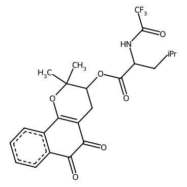 CC(C)CC(NC(=O)C(F)(F)F)C(=O)OC1CC2=C(OC1(C)C)c1ccccc1C(=O)C2=O